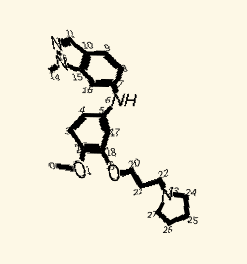 COc1ccc(Nc2ccc3cnn(C)c3c2)cc1OCCCN1CCCC1